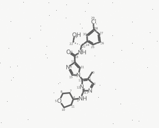 Cc1cnc(NC2CCOCC2)nc1-n1cnc(C(=O)N[C@H](CO)c2cccc(Cl)c2)c1